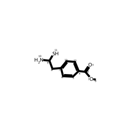 COC(=O)c1ccc(CC(N)S)cc1